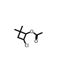 CC(=O)OC1C(Cl)CC1(C)C